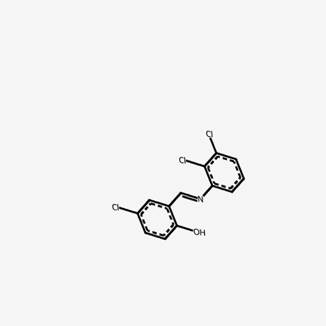 Oc1ccc(Cl)cc1C=Nc1cccc(Cl)c1Cl